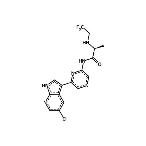 C[C@H](NCC(F)(F)F)C(=O)Nc1cncc(-c2c[nH]c3ncc(Cl)cc23)n1